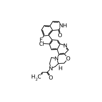 C=CC(=O)N1CCN2c3c(cnc4cc(-c5c(F)ccc6cc[nH]c(=O)c56)c(Cl)cc34)OC[C@H]2C1